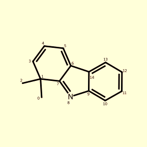 CC1(C)C=CC=C2C1=Nc1ccccc12